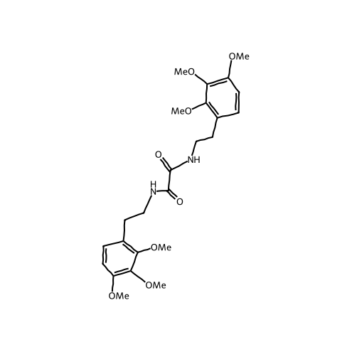 COc1ccc(CCNC(=O)C(=O)NCCc2ccc(OC)c(OC)c2OC)c(OC)c1OC